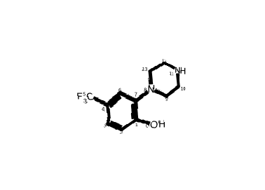 Oc1ccc(C(F)(F)F)cc1N1CCNCC1